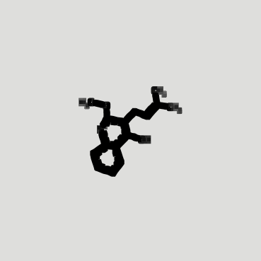 COc1nc2ccccc2c(O)c1CC=C(C)C